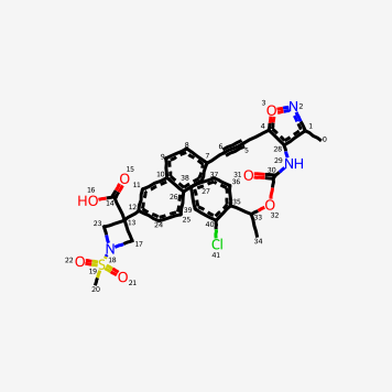 Cc1noc(C#Cc2ccc3cc(C4(C(=O)O)CN(S(C)(=O)=O)C4)ccc3c2)c1NC(=O)OC(C)c1ccccc1Cl